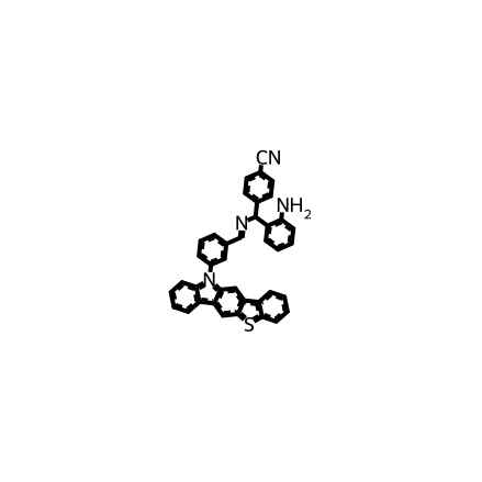 N#Cc1ccc(C(/N=C/c2cccc(-n3c4ccccc4c4cc5sc6ccccc6c5cc43)c2)c2ccccc2N)cc1